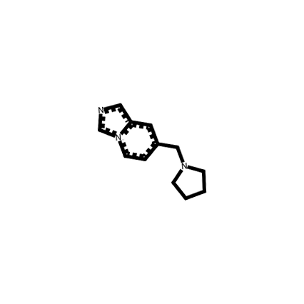 c1cn2cncc2cc1CN1CCCC1